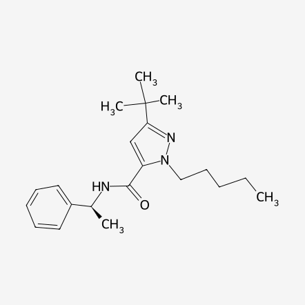 CCCCCn1nc(C(C)(C)C)cc1C(=O)N[C@@H](C)c1ccccc1